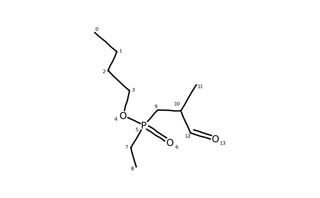 CCCCOP(=O)(CC)CC(C)C=O